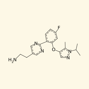 Cc1c(Oc2cc(F)ccc2-c2ncc(CCN)cn2)cnn1C(C)C